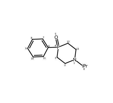 CC(C)N1CCP(=O)(c2ccccc2)CC1